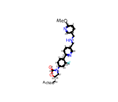 COc1ccc(CNCc2ccc(-c3ccc(N4C[C@H](CNC(C)=O)OC4=O)cc3F)nc2)cn1